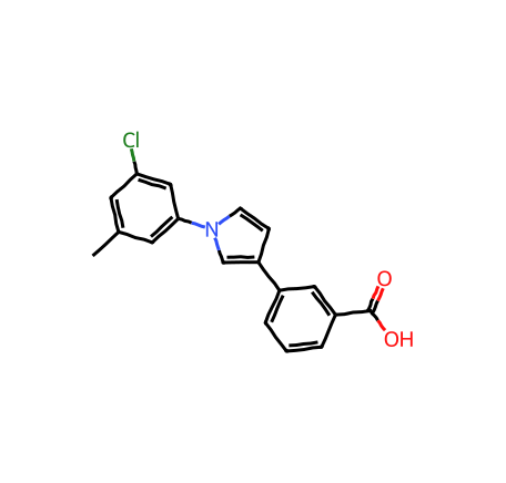 Cc1cc(Cl)cc(-n2ccc(-c3cccc(C(=O)O)c3)c2)c1